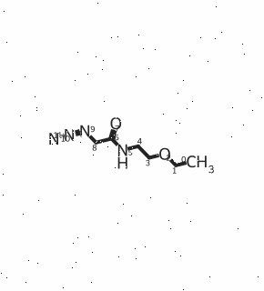 CCOCCNC(=O)CN=[N+]=[N-]